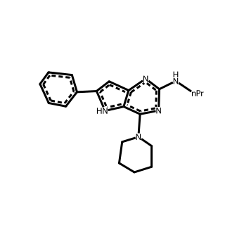 CCCNc1nc(N2CCCCC2)c2[nH]c(-c3ccccc3)cc2n1